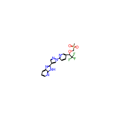 CS(=O)(=O)COC(c1ccc(-n2cc(-c3nc4cccnc4[nH]3)cn2)nc1)C(F)(F)F